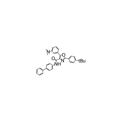 CN(C)c1cccc(-c2oc(-c3ccc(C(C)(C)C)cc3)nc2C(=O)Nc2ccc(-c3ccccc3)cc2)c1